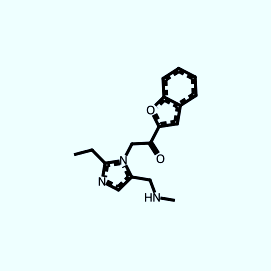 CCc1ncc(CNC)n1CC(=O)c1cc2ccccc2o1